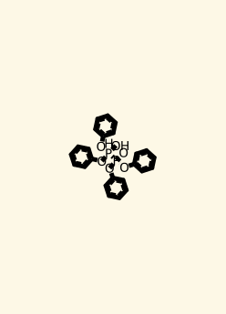 O=P(Oc1ccccc1)(Oc1ccccc1)[PH](O)(Oc1ccccc1)Oc1ccccc1